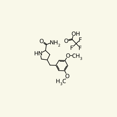 COc1cc(CC2CNC(C(N)=O)C2)cc(OC)c1.O=C(O)C(F)(F)F